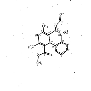 COC(=O)C1=C(C)NC(C)=C(COC=O)C1c1ccccc1[N+](=O)[O-]